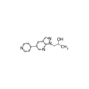 CC(O)Cn1ncc2cc(-c3ccncc3)cnc21